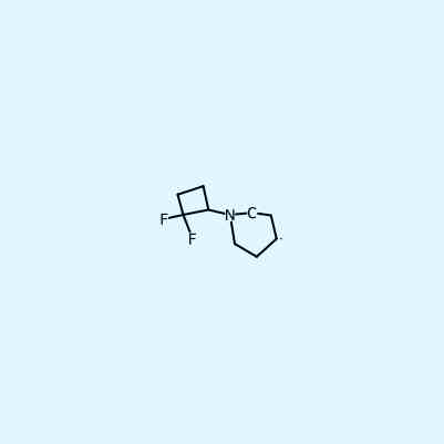 FC1(F)CCC1N1CC[CH]CC1